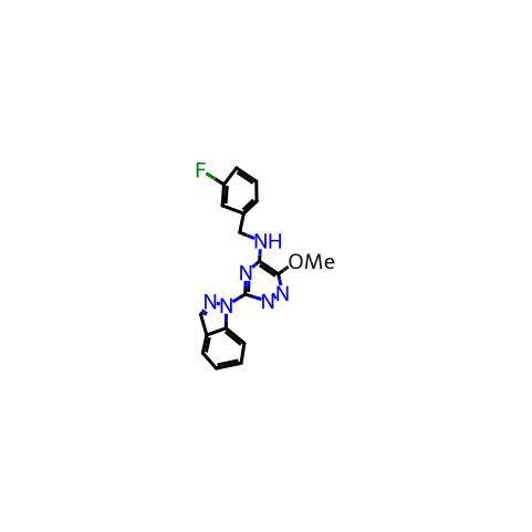 COc1nnc(-n2ncc3ccccc32)nc1NCc1cccc(F)c1